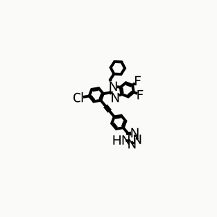 Fc1cc2nc(-c3ccc(Cl)cc3C#Cc3ccc(-c4nnn[nH]4)cc3)n(CC3CCCCC3)c2cc1F